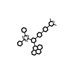 Cc1cc(-c2ccc(-c3ccc(-c4cc(-c5nc(-c6ccccc6)nc(-c6ccccc6)n5)cc(-c5cc6cccc7ccc8cccc5c8c76)c4)cc3)cc2)cc(C)n1